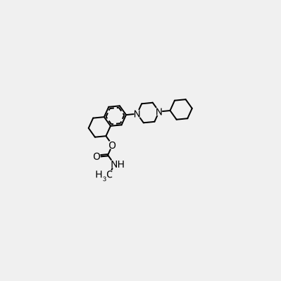 CNC(=O)OC1CCCc2ccc(N3CCN(C4CCCCC4)CC3)cc21